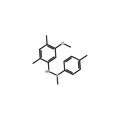 COc1cc(NN(C)c2ccc(C)cc2)c(C)cc1C